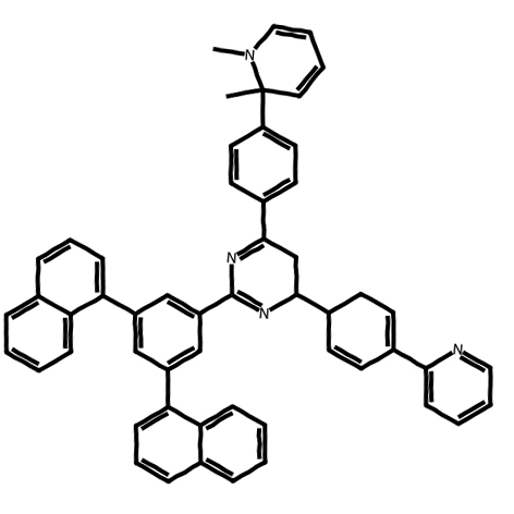 CN1C=CC=CC1(C)c1ccc(C2=NC(c3cc(-c4cccc5ccccc45)cc(-c4cccc5ccccc45)c3)=NC(C3C=CC(c4ccccn4)=CC3)C2)cc1